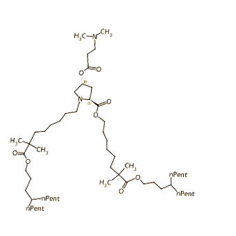 CCCCCC(CCCCC)CCCOC(=O)C(C)(C)CCCCCCOC(=O)[C@@H]1C[C@@H](OC(=O)CCN(C)C)CN1CCCCCCC(C)(C)C(=O)OCCCC(CCCCC)CCCCC